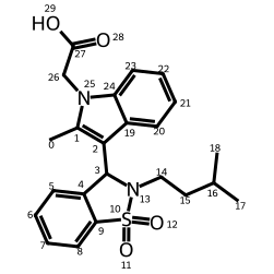 Cc1c(C2c3ccccc3S(=O)(=O)N2CCC(C)C)c2ccccc2n1CC(=O)O